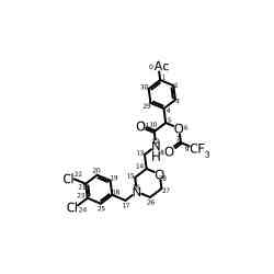 CC(=O)c1ccc(C(OC(=O)C(F)(F)F)C(=O)NCC2CN(Cc3ccc(Cl)c(Cl)c3)CCO2)cc1